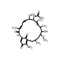 COC1/C=C\C=C(/C)C(=O)NC2=CC(=O)C(N)=C(CC(C)CC(OC)C(O)C(C)/C=C(\C)C1OC(N)=O)C2=O